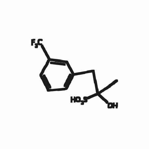 CC(O)(Cc1cccc(C(F)(F)F)c1)S(=O)(=O)O